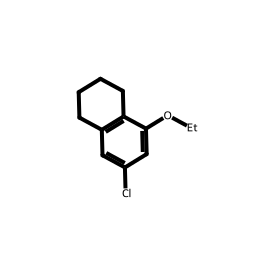 CCOc1cc(Cl)cc2c1CCCC2